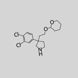 Clc1ccc(C2(CCOC3CCCCO3)CCNC2)cc1Cl